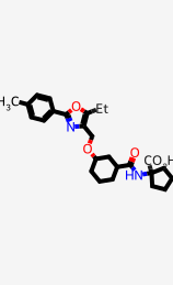 CCc1oc(-c2ccc(C)cc2)nc1COC1CCCC(C(=O)NC2(C(=O)O)CCCC2)C1